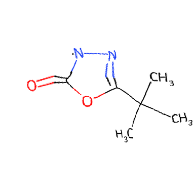 CC(C)(C)C1=N[N]C(=O)O1